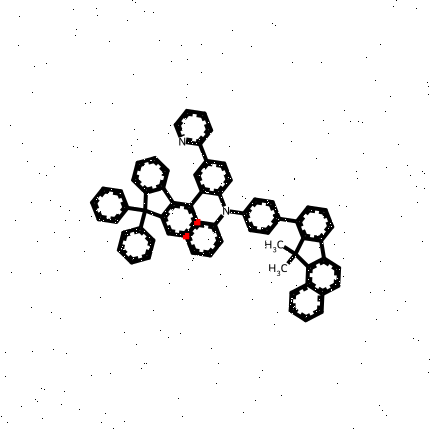 CC1(C)c2c(-c3ccc(N(c4ccccc4)c4ccc(-c5ccccn5)cc4-c4cccc5c4-c4ccccc4C5(c4ccccc4)c4ccccc4)cc3)cccc2-c2ccc3ccccc3c21